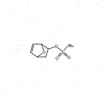 CC(C)(C)S(=O)(=O)OC1CC2C=CC1O2